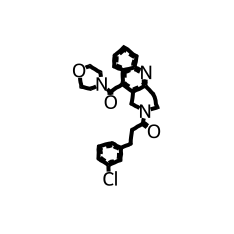 O=C(CCc1cccc(Cl)c1)N1CCc2nc3ccccc3c(C(=O)N3CCOCC3)c2C1